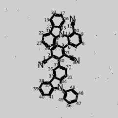 N#Cc1ccc(-c2cccc(C#N)c2-n2c3ccccc3c3ccccc32)c(C#N)c1-c1ccc2c(c1)c1ccccc1n2-c1ccccc1